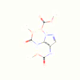 CC(C)(C)OC(=O)Nc1cnn(OC(=O)OC(C)(C)C)c1NC(=O)OC(C)(C)C